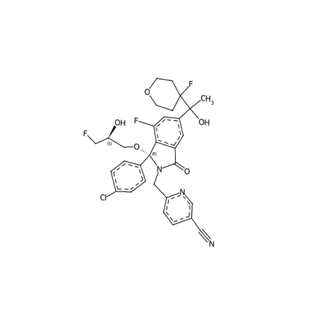 CC(O)(c1cc(F)c2c(c1)C(=O)N(Cc1ccc(C#N)cn1)[C@@]2(OC[C@H](O)CF)c1ccc(Cl)cc1)C1(F)CCOCC1